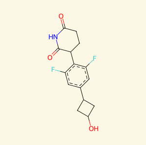 O=C1CCC(c2c(F)cc(C3CC(O)C3)cc2F)C(=O)N1